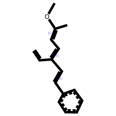 C=CC(/C=C/c1ccccc1)=C\C=C(/C)OC